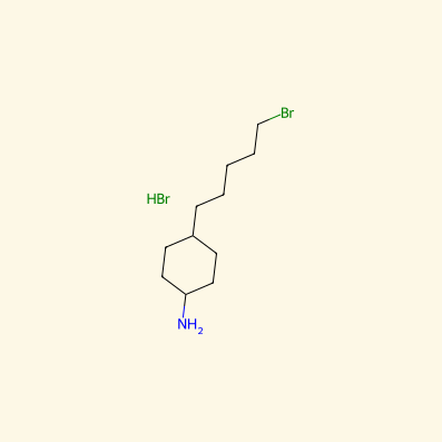 Br.NC1CCC(CCCCCBr)CC1